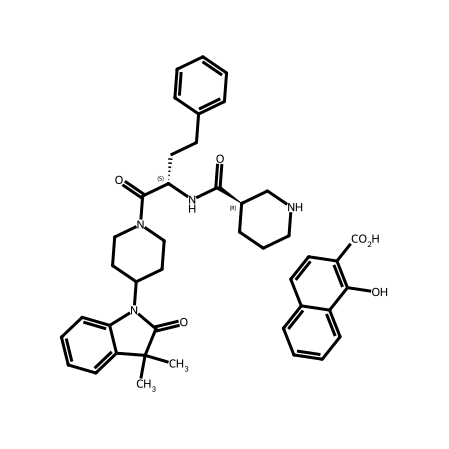 CC1(C)C(=O)N(C2CCN(C(=O)[C@H](CCc3ccccc3)NC(=O)[C@@H]3CCCNC3)CC2)c2ccccc21.O=C(O)c1ccc2ccccc2c1O